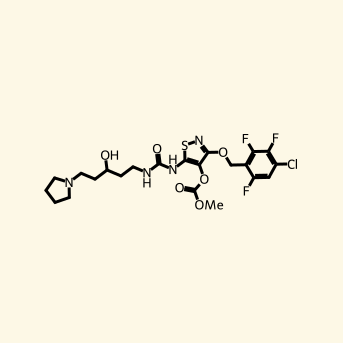 COC(=O)Oc1c(OCc2c(F)cc(Cl)c(F)c2F)nsc1NC(=O)NCCC(O)CCN1CCCC1